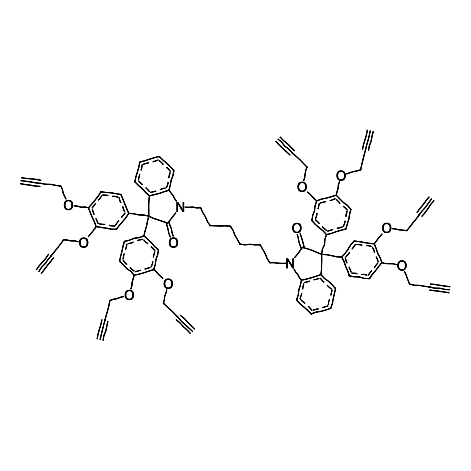 C#CCOc1ccc(C2(c3ccc(OCC#C)c(OCC#C)c3)C(=O)N(CCCCCCN3C(=O)C(c4ccc(OCC#C)c(OCC#C)c4)(c4ccc(OCC#C)c(OCC#C)c4)c4ccccc43)c3ccccc32)cc1OCC#C